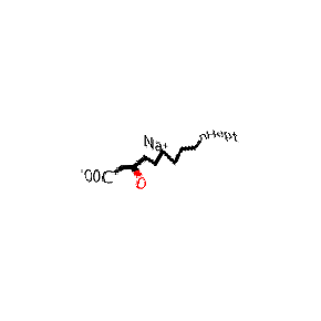 CCCCCCCCCCCCCC(=O)CC(=O)[O-].[Na+]